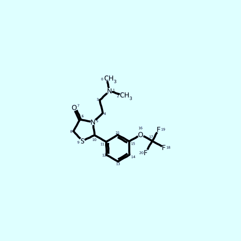 CN(C)CCN1C(=O)CSC1c1cccc(OC(F)(F)F)c1